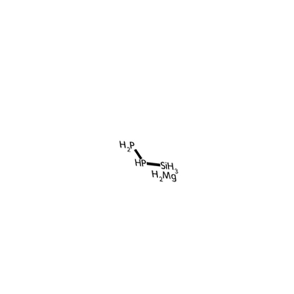 [MgH2].[SiH3]PP